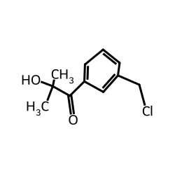 CC(C)(O)C(=O)c1cccc(CCl)c1